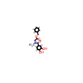 CN(CC(=O)OCc1ccccc1)C(=O)c1ccc(O)c(O)c1